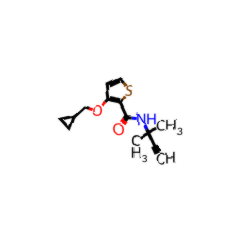 C#CC(C)(C)NC(=O)c1sccc1OCC1CC1